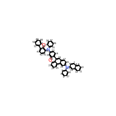 c1ccc(N(c2ccc3ccccc3c2)c2ccc3cc4c5c(cccc5c3c2)Oc2cc(N(c3ccccc3)c3cccc5c3oc3ccccc35)ccc2-4)cc1